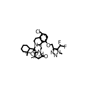 C[C@@H]1CC(=O)N(C[C@@H]2c3c(OCc4nnn(C)c4C(F)F)ccc(Cl)c3CCN2C(=O)C2CCCC[C@]2(C)C(=O)O)C1